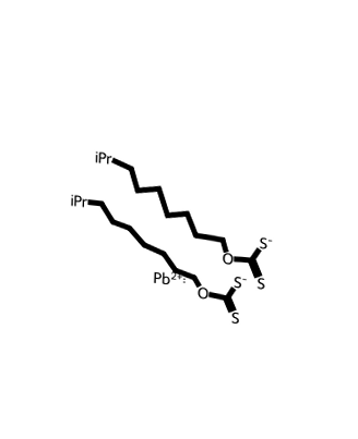 CC(C)CCCCCCCOC(=S)[S-].CC(C)CCCCCCCOC(=S)[S-].[Pb+2]